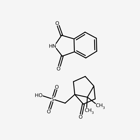 CC1(C)C2CCC1(CS(=O)(=O)O)C(=O)C2.O=C1NC(=O)c2ccccc21